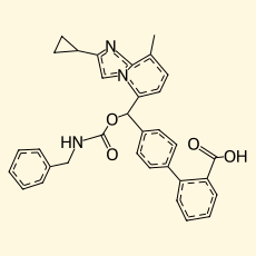 Cc1ccc(C(OC(=O)NCc2ccccc2)c2ccc(-c3ccccc3C(=O)O)cc2)n2cc(C3CC3)nc12